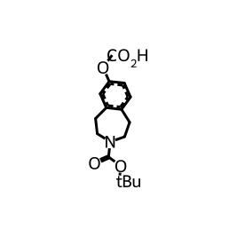 CC(C)(C)OC(=O)N1CCc2ccc(OC(=O)O)cc2CC1